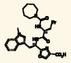 CC(C)C[C@H](NC(=O)N1CCCCCC1)C(=O)N[C@H](Cc1cn(C)c2ccccc12)c1nc(C(=O)O)co1